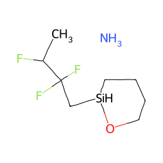 CC(F)C(F)(F)C[SiH]1CCCCO1.N